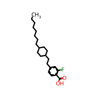 CCCCCCCCC1CCC(CCc2ccc(C(=O)O)c(F)c2)CC1